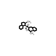 COC([O])(c1cc(C)c2ccccc2c1)c1c(C)ccc2ccccc12